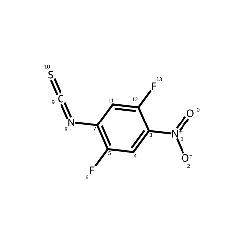 O=[N+]([O-])c1cc(F)c(N=C=S)cc1F